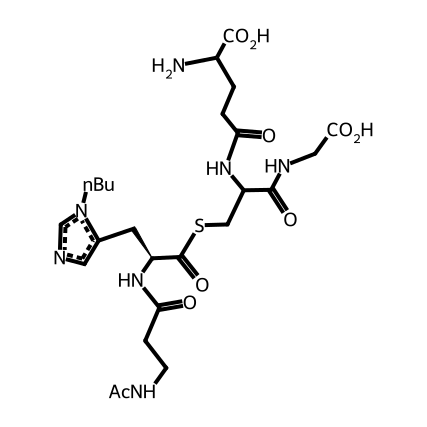 CCCCn1cncc1C[C@H](NC(=O)CCNC(C)=O)C(=O)SCC(NC(=O)CCC(N)C(=O)O)C(=O)NCC(=O)O